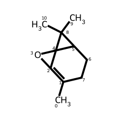 CC1=C2OC23C(CC1)C3(C)C